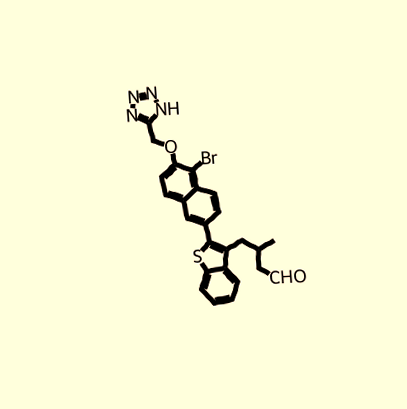 CC(CC=O)Cc1c(-c2ccc3c(Br)c(OCc4nnn[nH]4)ccc3c2)sc2ccccc12